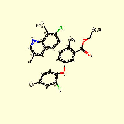 CCOC(=O)COC(=O)c1cc(Oc2ccc(C(F)(F)F)cc2Cl)ccc1[N+](=O)[O-].Cc1cnc2c(C(=O)O)c(Cl)ccc2c1